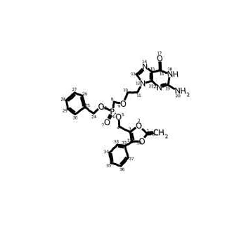 C=C1OC(COP(=O)(COCCn2cnc3c(=O)[nH]c(N)nc32)OCc2ccccc2)=C(c2ccccc2)O1